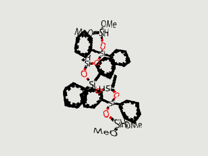 CO[SiH](OC)O[Si](O[SiH](C)O[Si](O[SiH](C)O[Si](O[SiH](OC)OC)(c1ccccc1)c1ccccc1)(c1ccccc1)c1ccccc1)(c1ccccc1)c1ccccc1